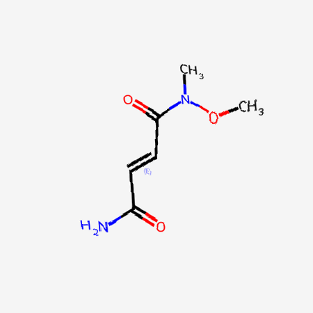 CON(C)C(=O)/C=C/C(N)=O